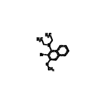 CCN(CC)c1c(Br)c(OC)cc2ccccc12